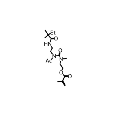 C=C(C)C(=O)OCCN(C)C(=O)N(CCNC(=O)C(C)(C)CC)C(C)=O